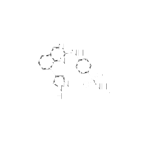 NS(=O)(=O)c1ccc(Nc2ncc3cccc(-c4cn[nH]c4)c3n2)cc1